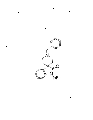 CCCN1C(=O)C2(CCN(Cc3ccccc3)CC2)c2ccccc21